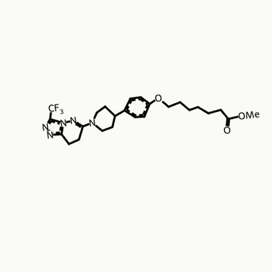 COC(=O)CCCCCCOc1ccc(C2CCN(C3=Nn4c(nnc4C(F)(F)F)CC3)CC2)cc1